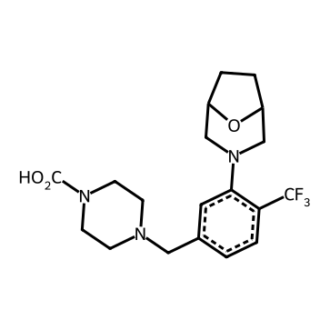 O=C(O)N1CCN(Cc2ccc(C(F)(F)F)c(N3CC4CCC(C3)O4)c2)CC1